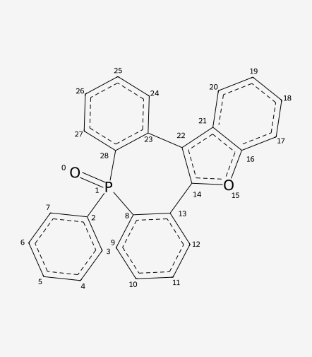 O=P1(c2ccccc2)c2ccccc2-c2oc3ccccc3c2-c2ccccc21